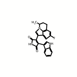 CC1CCc2cc(F)cc3c(C4=C(c5c[nH]c6ccccc56)C(=O)NC4=O)cn1c23